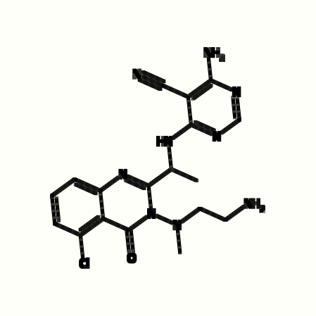 CC(Nc1ncnc(N)c1C#N)c1nc2cccc(Cl)c2c(=O)n1N(C)CCN